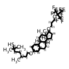 CN(CCOc1ccc2c(c1)CC[C@@H]1[C@@H]2CC[C@]2(C)[C@@H](OCCCOC(C(F)(F)F)(C(F)(F)F)C(F)(F)F)CC[C@@H]12)CCC(C)(C)S